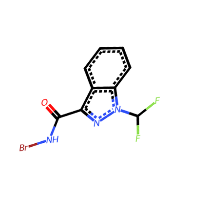 O=C(NBr)c1nn(C(F)F)c2ccccc12